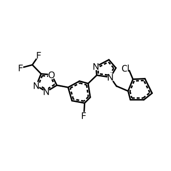 Fc1cc(-c2nnc(C(F)F)o2)cc(-c2nccn2Cc2ccccc2Cl)c1